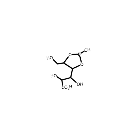 O=C(O)C(O)C(O)C1OB(O)OC1CO